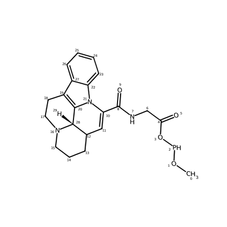 COPOC(=O)CNC(=O)C1=CC2CCCN3CCc4c(n1c1ccccc41)[C@H]23